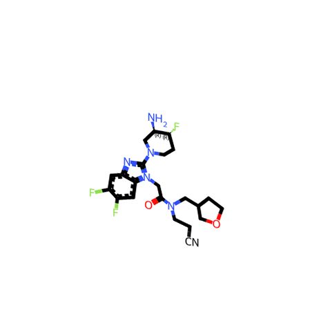 N#CCCN(CC1CCOC1)C(=O)Cn1c(N2CC[C@@H](F)[C@H](N)C2)nc2cc(F)c(F)cc21